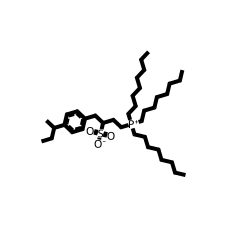 CCCCCCCC[P+](CCCCCCCC)(CCCCCCCC)CCC(Cc1ccc(C(C)CC)cc1)S(=O)(=O)[O-]